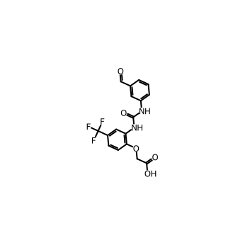 O=Cc1cccc(NC(=O)Nc2cc(C(F)(F)F)ccc2OCC(=O)O)c1